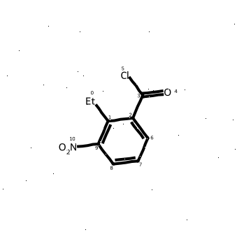 CCc1c(C(=O)Cl)cccc1[N+](=O)[O-]